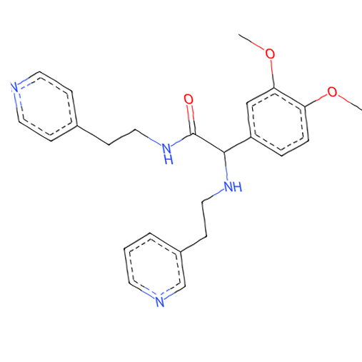 COc1ccc(C(NCCc2cccnc2)C(=O)NCCc2ccncc2)cc1OC